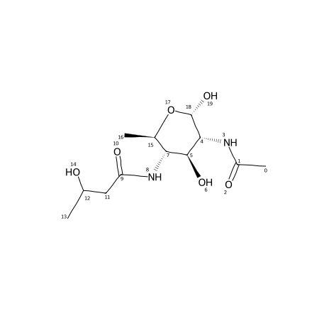 CC(=O)N[C@@H]1[C@@H](O)[C@H](NC(=O)CC(C)O)[C@@H](C)O[C@@H]1O